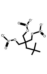 CC(C)(C)[CH]C(CO[N+](=O)[O-])(CO[N+](=O)[O-])CO[N+](=O)[O-]